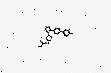 CCC(=O)N[C@H]1CC[C@@H](n2nncc2-c2ccc(-c3ccc(C)c(F)c3)cc2)C1